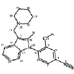 COc1cc(C#N)ccc1-n1c(C)c(CN2CCCCC2)c2ccccc21